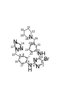 Brc1cnc(Nc2ccc(Cn3cncn3)cc2)nc1Nc1cccc(CN2CCCCC2)c1